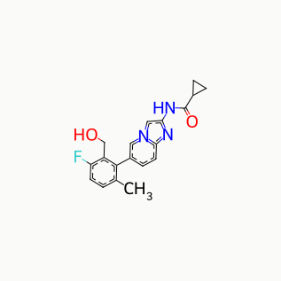 Cc1ccc(F)c(CO)c1-c1ccc2nc(NC(=O)C3CC3)cn2c1